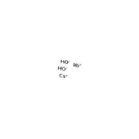 [Cs+].[OH-].[OH-].[Rb+]